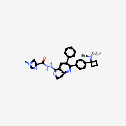 Cn1cnc(C(=O)NNc2nccc3nc(-c4ccc(C5(N(C(=O)O)C(C)(C)C)CCC5)cc4)c(-c4ccccc4)cc23)c1